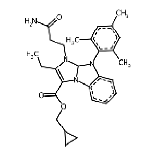 CCC1=C(C(=O)OCC2CC2)N2c3ccccc3N(c3c(C)cc(C)cc3C)C2N1CCC(N)=O